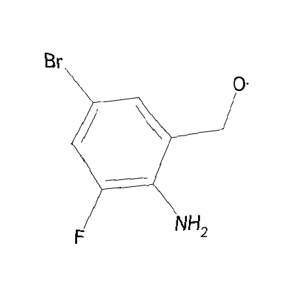 Nc1c(F)cc(Br)cc1C[O]